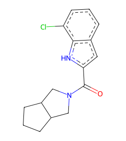 O=C(c1cc2cccc(Cl)c2[nH]1)N1CC2CCCC2C1